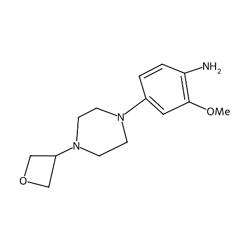 COc1cc(N2CCN(C3COC3)CC2)ccc1N